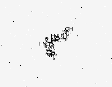 Cn1ccc2c(-c3ncc(Nc4ccc(N5CCC[C@H](C(C)(C)O)C5)cn4)c4c3CNC4=O)ccnc21